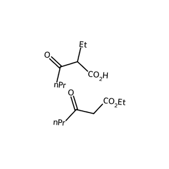 CCCC(=O)C(CC)C(=O)O.CCCC(=O)CC(=O)OCC